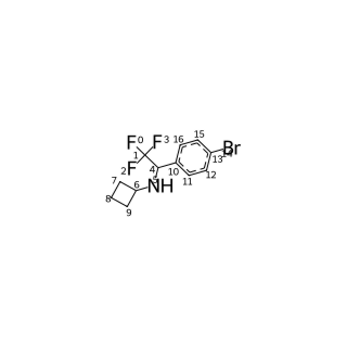 FC(F)(F)C(NC1CCC1)c1ccc(Br)cc1